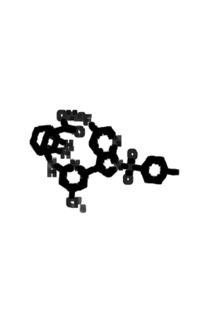 COC(=O)[C@H]1C2CCC(CC2)[C@H]1Nc1cc(C(F)(F)F)cc(-c2cn(S(=O)(=O)c3ccc(C)cc3)c3ncc(F)cc23)n1